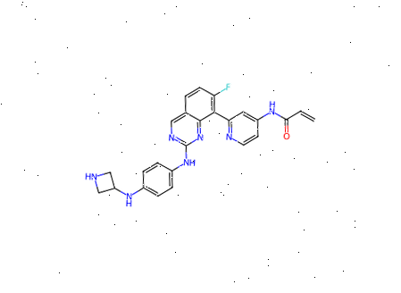 C=CC(=O)Nc1ccnc(-c2c(F)ccc3cnc(Nc4ccc(NC5CNC5)cc4)nc23)c1